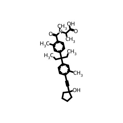 CCC(CC)(c1ccc(C#CC2(O)CCCC2)c(C)c1)c1ccc(C(=O)N(C)C(C)C(=O)O)c(C)c1